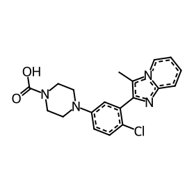 Cc1c(-c2cc(N3CCN(C(=O)O)CC3)ccc2Cl)nc2ccccn12